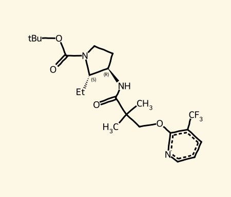 CC[C@H]1[C@H](NC(=O)C(C)(C)COc2ncccc2C(F)(F)F)CCN1C(=O)OC(C)(C)C